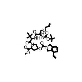 C=CCOCC(NC(=O)OC(C)(C)C)C(=O)NC(C(=O)N1CC(OC(=O)N2Cc3cccc(C=C)c3C2)CC1C(=O)OC)C(C)(C)C